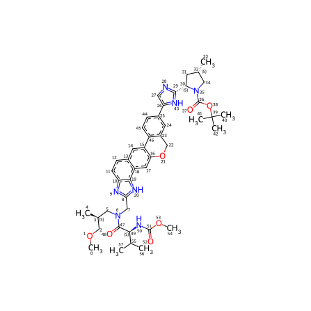 COC[C@@H](C)CN(Cc1nc2ccc3cc4c(cc3c2[nH]1)OCc1cc(-c2cnc([C@@H]3C[C@H](C)CN3C(=O)OC(C)(C)C)[nH]2)ccc1-4)C(=O)[C@@H](NC(=O)OC)C(C)C